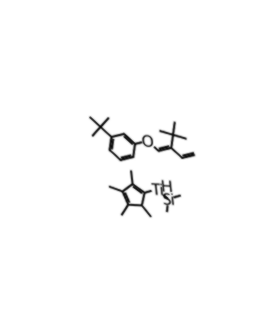 C=CC(=COc1cccc(C(C)(C)C)c1)C(C)(C)C.CC1=C(C)C(C)[C]([Ti][SiH](C)C)=C1C